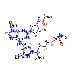 C=CC(=O)N[C@@H]1CN(c2nc(Nc3cn(C(CCCCOC(N)=O)C(C)(C)C)nc3CC)c3ncn(C(C)(C)C)c3n2)C[C@H]1F